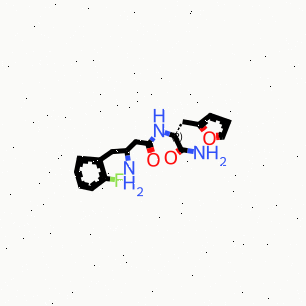 NC(=O)[C@@H](Cc1ccco1)NC(=O)CC(N)Cc1ccccc1F